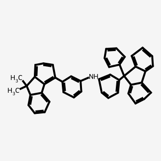 CC1(C)c2ccccc2-c2c(-c3cccc(Nc4cccc(C5(c6ccccc6)c6ccccc6-c6ccccc65)c4)c3)cccc21